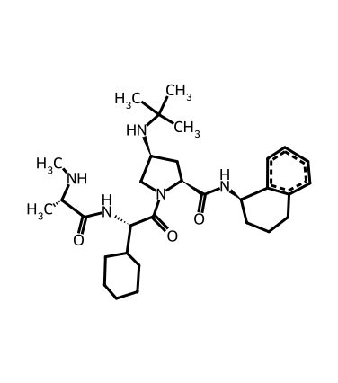 CN[C@@H](C)C(=O)N[C@H](C(=O)N1C[C@@H](NC(C)(C)C)C[C@H]1C(=O)N[C@@H]1CCCc2ccccc21)C1CCCCC1